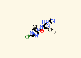 CN1CC(Nc2cc(NC(=O)N3C[C@@](C)(C(F)(F)F)c4c3cnc3cc(Cl)nn43)cc(C(F)(F)F)n2)C1